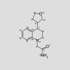 NC(=O)CN1CCC(C2CCOC2)c2ccccc21